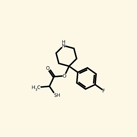 CC(S)C(=O)OC1(c2ccc(F)cc2)CCNCC1